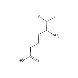 NC(CCCC(=O)O)C(F)F